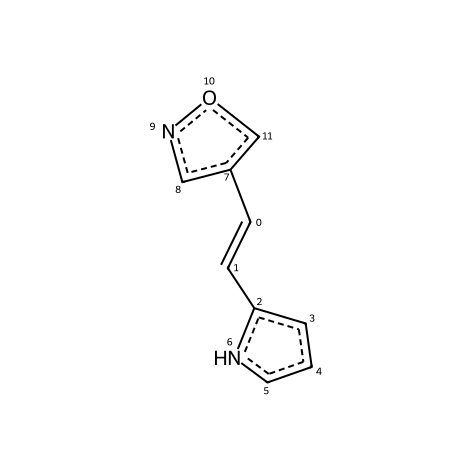 C(=Cc1ccc[nH]1)c1cnoc1